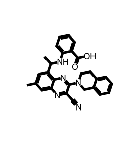 Cc1cc(C(C)Nc2ccccc2C(=O)O)c2nc(N3CCc4ccccc4C3)c(C#N)nc2c1